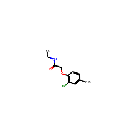 N#CCNC(=O)COc1ccc(C=O)cc1Br